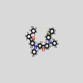 c1ccc(-c2cccc3c2oc2cc(N(c4ccccc4)c4ccc5c(c4)oc4ccc(N(c6ccccc6)c6ccc7sc8ccccc8c7c6)cc45)ccc23)cc1